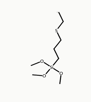 [CH2]CSCCC[Si](OC)(OC)OC